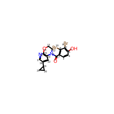 O=C(c1ccc(O)c(Br)c1Br)N1CCOc2ncc(C3CC3)cc21